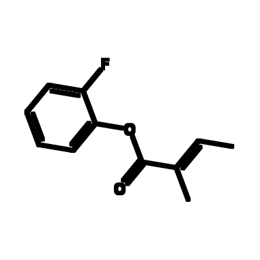 CC=C(C)C(=O)Oc1ccccc1F